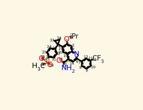 CC(C)Oc1cc2nc(-c3cccc(C(F)(F)F)c3)cc(C(N)=O)c2cc1C1(c2ccc(S(C)(=O)=O)cc2)CC1